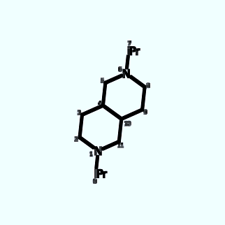 CC(C)N1CCC2CN(C(C)C)CCC2C1